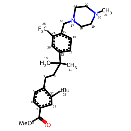 COC(=O)c1ccc(CCC(C)(C)c2ccc(CN3CCN(C)CC3)c(C(F)(F)F)c2)c(C(C)(C)C)c1